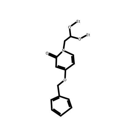 CCOC(Cn1ccc(OCc2ccccc2)cc1=O)OCC